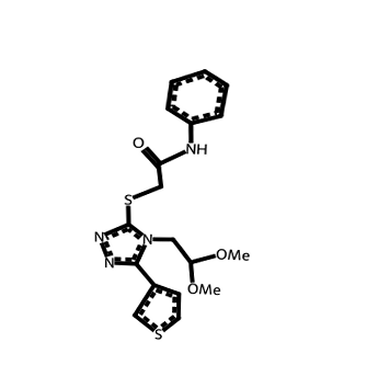 COC(Cn1c(SCC(=O)Nc2ccccc2)nnc1-c1ccsc1)OC